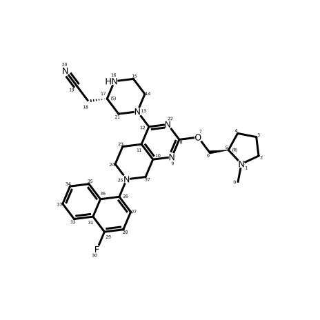 CN1CCC[C@@H]1COc1nc2c(c(N3CCN[C@@H](CC#N)C3)n1)CCN(c1ccc(F)c3ccccc13)C2